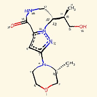 C[C@@H]1COCCN1c1cc2n(n1)[C@@H]([C@@H](C)CO)CNC2=O